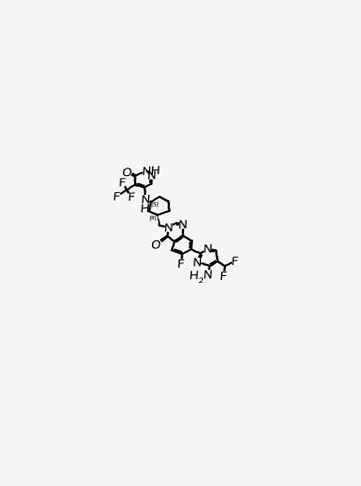 Nc1nc(-c2cc3ncn(C[C@@H]4CCC[C@H](Nc5cn[nH]c(=O)c5C(F)(F)F)C4)c(=O)c3cc2F)ncc1C(F)F